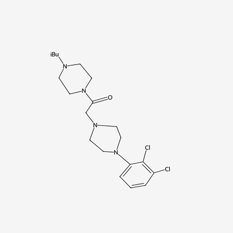 CCC(C)N1CCN(C(=O)CN2CCN(c3cccc(Cl)c3Cl)CC2)CC1